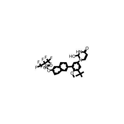 COc1c(-c2ccc3cc(OS(=O)(=O)C(F)(C(F)(F)F)C(F)(F)F)ccc3c2)cc(N2C=CC(=O)NC2O)cc1C(C)(C)C